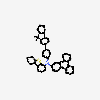 CC1(C)c2ccccc2-c2ccc(-c3ccc(N(c4ccc5c6ccccc6c6ccccc6c5c4)c4cccc5c4sc4ccccc45)cc3)cc21